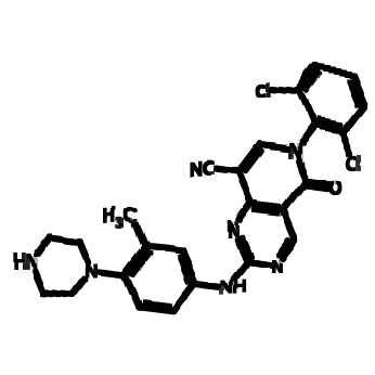 Cc1cc(Nc2ncc3c(=O)n(-c4c(Cl)cccc4Cl)cc(C#N)c3n2)ccc1N1CCNCC1